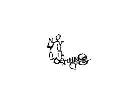 CNC(=O)c1cc(Oc2ccc3nc(N[C@H]4CCCC[C@@H]4NS(C)(=O)=O)sc3c2)ccn1